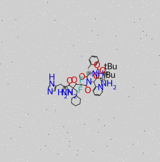 CC[C@H](C)[C@H](N)C(=O)C(c1ccccn1)N(C(=O)[C@H](Cc1ccccc1)NC(=O)OC(C)(C)C)C(=O)C(F)(F)C(=O)C(N)(CC1CCCCC1)C(=O)[C@H](N)Cc1cnc[nH]1